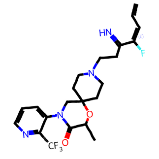 C=C/C=C(/F)C(=N)CCN1CCC2(CC1)CN(c1cccnc1C(F)(F)F)C(=O)C(C)O2